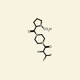 O=C(C(F)C(F)F)N1CCN(C(=O)C2CCCN2C(=O)O)CC1